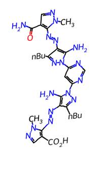 CCCCc1nn(-c2cc(-n3nc(CCCC)c(/N=N/c4c(C(=O)O)cnn4C)c3N)ncn2)c(N)c1/N=N/c1c(C(N)=O)cnn1C